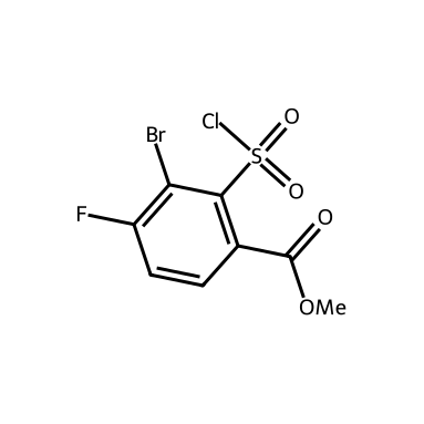 COC(=O)c1ccc(F)c(Br)c1S(=O)(=O)Cl